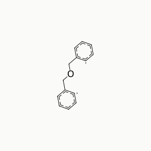 [c]1ccccc1COCc1[c]cccc1